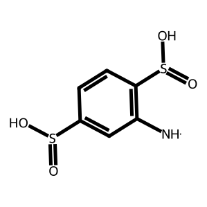 [NH]c1cc(S(=O)O)ccc1S(=O)O